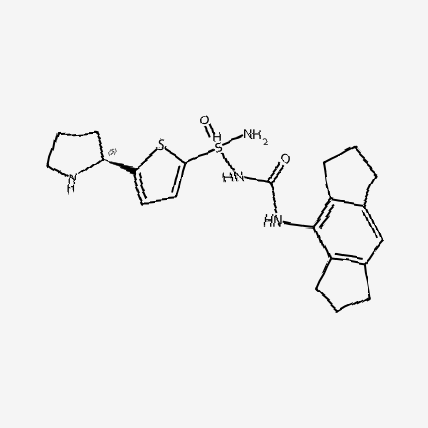 N[SH](=O)(NC(=O)Nc1c2c(cc3c1CCC3)CCC2)c1ccc([C@@H]2CCCN2)s1